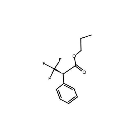 CCCOC(=O)[C@@H](c1ccccc1)C(F)(F)F